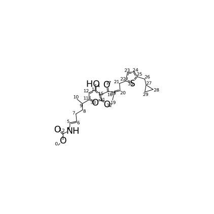 COC(=O)N/C=C/CCC(C)c1cc(O)c(C(=O)/C(C)=C\Cc2ccc(CC3CC3)s2)c(=O)o1